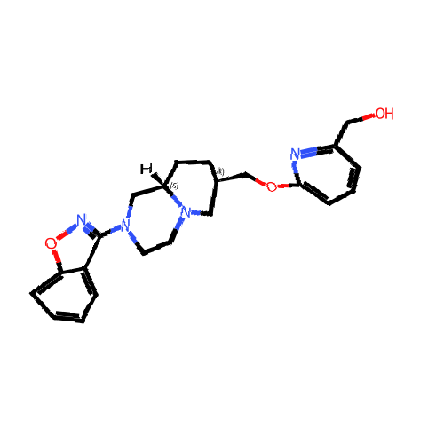 OCc1cccc(OC[C@@H]2CC[C@H]3CN(c4noc5ccccc45)CCN3C2)n1